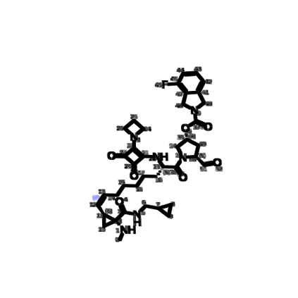 CN[C@]1(C(=O)NCC2CC2)C[C@H]1/C=C\CCCCC[C@H](Nc1c(N2CCC2)c(=O)c1=O)C(=O)N1C[C@H](OC(=O)N2Cc3cccc(F)c3C2)C[C@H]1C=O